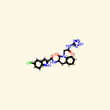 O=C(CN1C(=O)C(NC(=O)c2cc3cc(Cl)ccc3[nH]2)Cc2ccccc21)Nc1nn[nH]n1